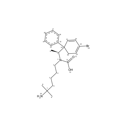 C[C@H](N(CCCCC(C)(C)N)C(=O)O)C1(c2ccccc2)C=CC(Br)=CC1